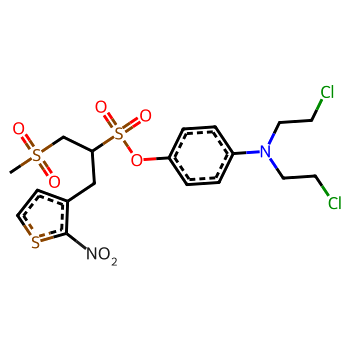 CS(=O)(=O)CC(Cc1ccsc1[N+](=O)[O-])S(=O)(=O)Oc1ccc(N(CCCl)CCCl)cc1